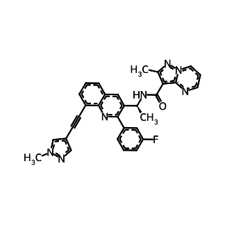 Cc1nn2cccnc2c1C(=O)N[C@@H](C)c1cc2cccc(C#Cc3cnn(C)c3)c2nc1-c1cccc(F)c1